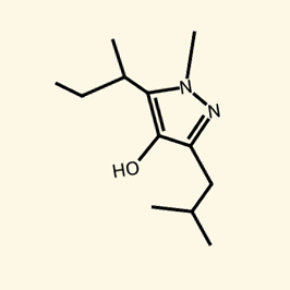 CCC(C)c1c(O)c(CC(C)C)nn1C